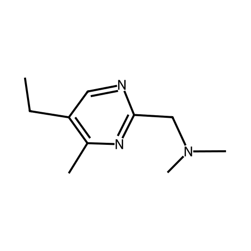 CCc1cnc(CN(C)C)nc1C